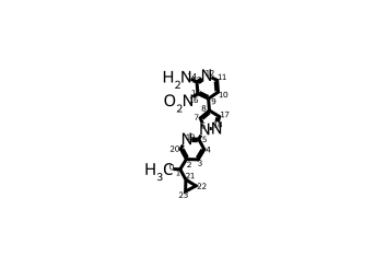 CC(c1ccc(-n2cc(-c3ccnc(N)c3[N+](=O)[O-])cn2)nc1)C1CC1